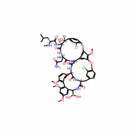 CN[C@@H](CC(C)C)C(=O)N[C@H]1C(=O)N[C@@H](CC(N)=O)C(=O)N[C@H]2C(=O)N[C@H]3C(=O)N[C@@H](Cc4ccc(c(Cl)c4)Oc4cc2cc(c4OC)Oc2ccc(cc2Cl)[C@H]1O)C(=O)NC(B(O)O)c1cc(OC)cc(OC)c1-c1cc3ccc1OC